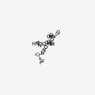 CC1(C)CCC(CN2CCN(c3ccc(C(=O)NS(=O)(=O)c4ccc(NCC5CCOCC5)c([N+](=O)[O-])c4)c(Oc4cnc5[nH]ccc5c4)c3)CC2)=C(C23CC(C(F)F)(C2)C3)C1